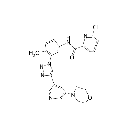 Cc1ccc(NC(=O)c2cccc(Cl)n2)cc1-n1cc(-c2cncc(N3CCOCC3)c2)nn1